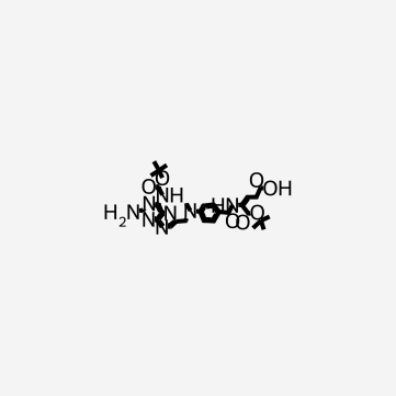 CN(Cc1cnc2nc(N)nc(NC(=O)OC(C)(C)C)c2n1)c1ccc(C(=O)N/C(=C/CC(=O)O)C(=O)OC(C)(C)C)cc1